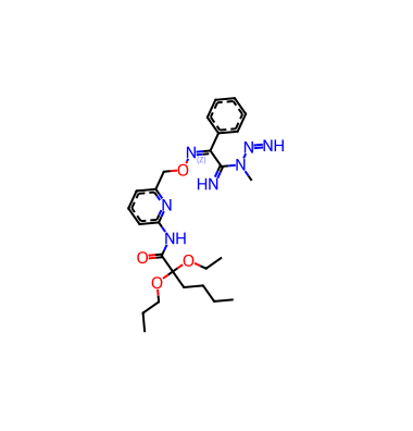 CCCCC(OCC)(OCCC)C(=O)Nc1cccc(CO/N=C(\C(=N)N(C)N=N)c2ccccc2)n1